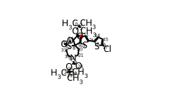 CC(C)(C)OC(=O)CC1(c2ccc(-c3ccc(Cl)s3)s2)CCN(C(=O)OC(C)(C)C)CCS1(=O)=O